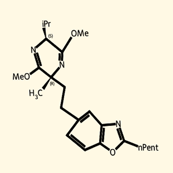 CCCCCc1nc2cc(CC[C@@]3(C)N=C(OC)[C@H](C(C)C)N=C3OC)ccc2o1